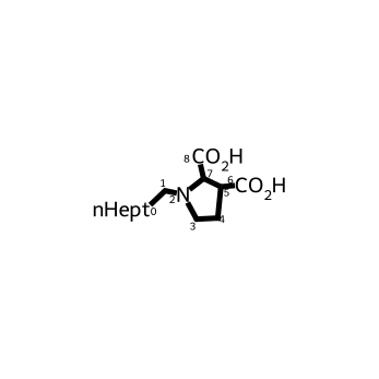 CCCCCCCCN1CCC(C(=O)O)C1C(=O)O